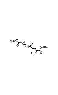 CC(C)(C)OC(=O)NCCNC(=O)CCC(N)C(=O)OC(C)(C)C